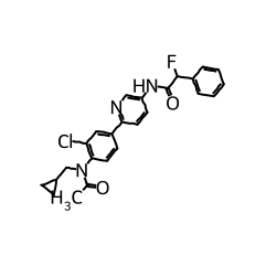 CC(=O)N(CC1CC1)c1ccc(-c2ccc(NC(=O)C(F)c3ccccc3)cn2)cc1Cl